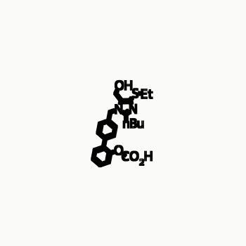 CCCCc1nc(SCC)c(CO)n1Cc1ccc(-c2ccccc2OC(=O)O)cc1